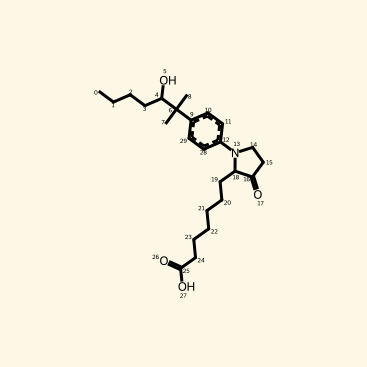 CCCCC(O)C(C)(C)c1ccc(N2CCC(=O)C2CCCCCCC(=O)O)cc1